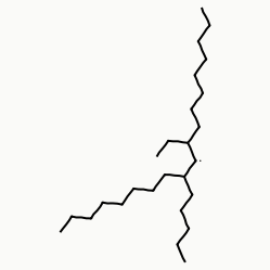 CCCCCCCCC([CH]C(CCCCC)CCCCCCCC)CC